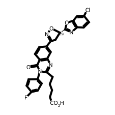 O=C(O)CCCCc1nc2cc(C3=NO[C@H](c4nc5ccc(Cl)cc5o4)C3)ccc2c(=O)n1-c1ccc(F)cc1